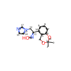 CC1(C)OCc2c(cccc2C(Cn2ccnc2)=NO)O1